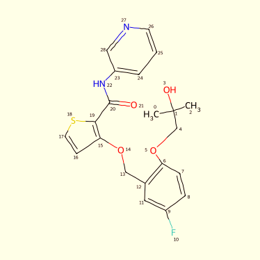 CC(C)(O)COc1ccc(F)cc1COc1ccsc1C(=O)Nc1cccnc1